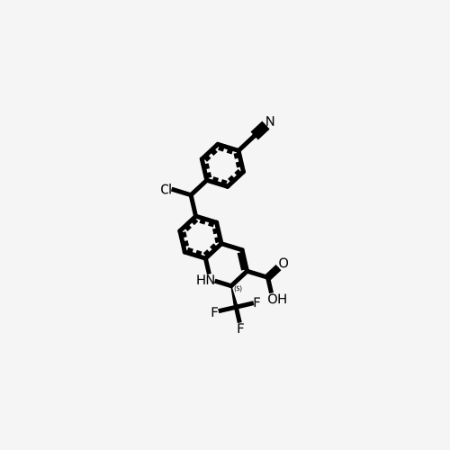 N#Cc1ccc(C(Cl)c2ccc3c(c2)C=C(C(=O)O)[C@@H](C(F)(F)F)N3)cc1